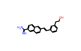 N=C(N)c1ccc2cc(C=Cc3cccc(CCO)c3)ccc2c1